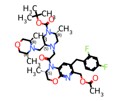 CC(=O)OCc1nc2c(cc1Cc1ccc(F)cc1F)N(C(=O)CN1C[C@@H](C)N(C(=O)OC(C)(C)C)C[C@@H]1CN1[C@H](C)COC[C@H]1C)[C@@H](C)CO2